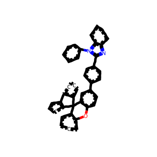 c1ccc(-n2c(-c3ccc(-c4ccc5c(c4)C4(c6ccccc6O5)c5ccccc5-c5ccccc54)cc3)nc3ccccc32)cc1